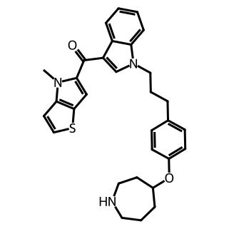 Cn1c(C(=O)c2cn(CCCc3ccc(OC4CCCNCC4)cc3)c3ccccc23)cc2sccc21